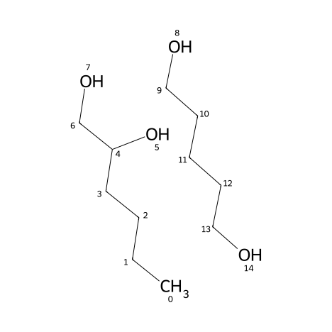 CCCCC(O)CO.OCCCCCO